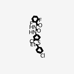 CCC(Sc1ccc(NC(=O)NC(=O)c2c(F)cccc2F)cc1Cl)c1ccc(Cl)cc1